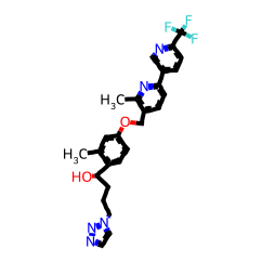 Cc1cc(OCc2ccc(-c3ccc(C(F)(F)F)nc3)nc2C)ccc1C(O)CCCn1ccnn1